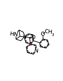 COc1ccccc1-c1ccc(C2C3CN(C(=O)c4cccnc4)CC2N3)cc1